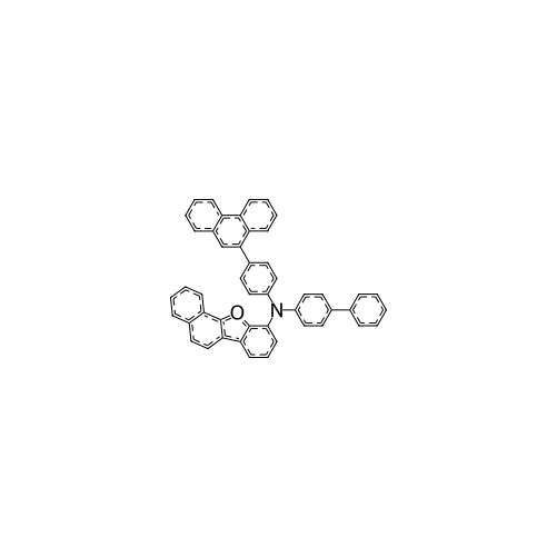 c1ccc(-c2ccc(N(c3ccc(-c4cc5ccccc5c5ccccc45)cc3)c3cccc4c3oc3c5ccccc5ccc43)cc2)cc1